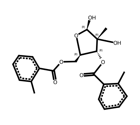 Cc1ccccc1C(=O)OC[C@H]1O[C@@H](O)[C@](C)(O)[C@@H]1OC(=O)c1ccccc1C